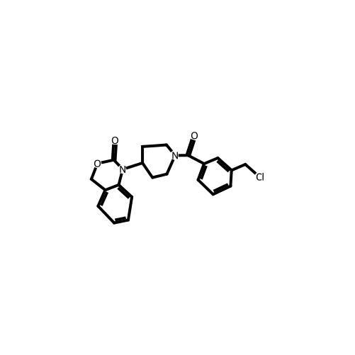 O=C(c1cccc(CCl)c1)N1CCC(N2C(=O)OCc3ccccc32)CC1